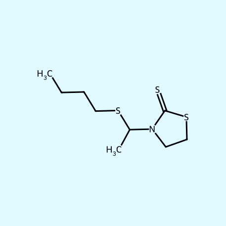 CCCCSC(C)N1CCSC1=S